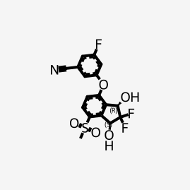 CS(=O)(=O)c1ccc(Oc2cc(F)cc(C#N)c2)c2c1[C@H](O)C(F)(F)[C@@H]2O